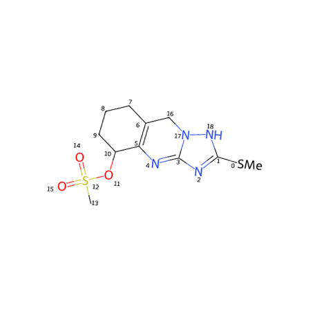 CSC1=NC2=NC3=C(CCCC3OS(C)(=O)=O)CN2N1